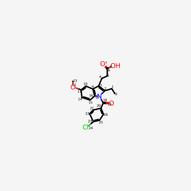 CCc1c(CCC(=O)O)c2cc(OC)ccc2n1C(=O)c1ccc(Cl)cc1